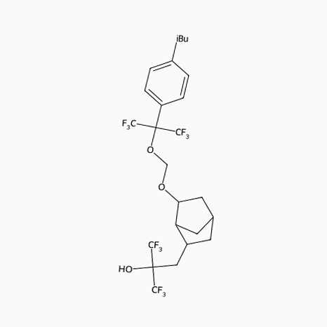 CCC(C)c1ccc(C(OCOC2CC3CC(CC(O)(C(F)(F)F)C(F)(F)F)C2C3)(C(F)(F)F)C(F)(F)F)cc1